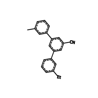 CCc1cccc(-c2cc(C#N)cc(-c3cccc(C)c3)c2)c1